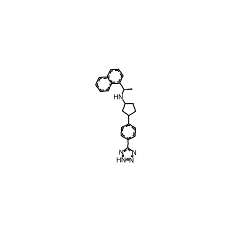 C[C@@H](NC1CCC(c2ccc(-c3nn[nH]n3)cc2)C1)c1cccc2ccccc12